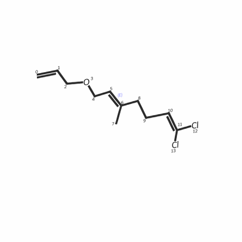 C=CCOC/C=C(\C)CCC=C(Cl)Cl